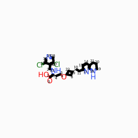 O=C(O)[C@H](CCO[C@H]1C[C@@H](CCc2ccc3c(n2)NCCC3)C1)NCc1c(Cl)cncc1Cl